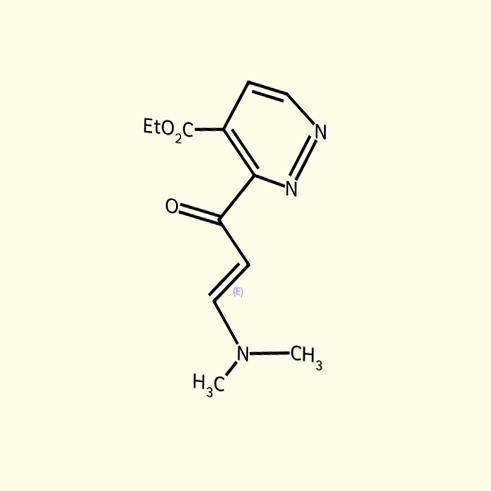 CCOC(=O)c1ccnnc1C(=O)/C=C/N(C)C